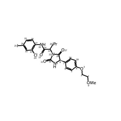 COCCOc1ccc([C@H]2NC(=O)N(C(C(=O)Nc3ccc(I)cc3Cl)C(C)C)C2=O)cc1